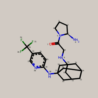 N[C@@H]1CCCN1C(=O)CNC12CC3CC(C1)CC(Nc1ccc(C(F)(F)F)cn1)(C3)C2